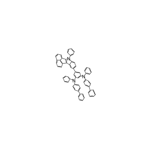 c1ccc(-c2ccc(N(c3ccccc3)c3cc(-c4ccc5c(c4)c4c(n5-c5ccccc5)-c5cccc6cccc-4c56)cc(N(c4ccccc4)c4ccc(-c5ccccc5)cc4)c3)cc2)cc1